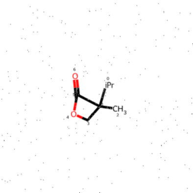 CC(C)C1(C)COC1=O